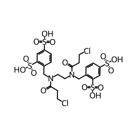 O=C(CCCl)N(CCN(Cc1ccc(S(=O)(=O)O)cc1S(=O)(=O)O)C(=O)CCCl)Cc1ccc(S(=O)(=O)O)cc1S(=O)(=O)O